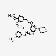 COc1ccc(CCOc2cc(NN=Cc3cccc(C)c3)cc(N3CCOCC3)n2)cc1OC